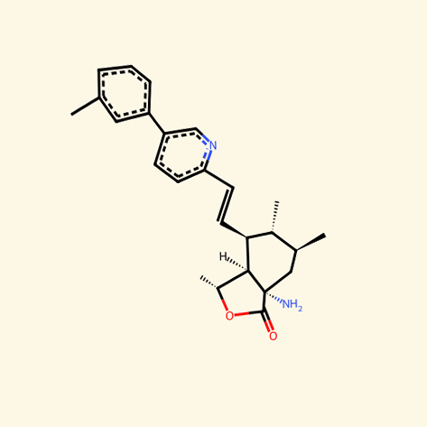 Cc1cccc(-c2ccc(/C=C/[C@H]3[C@H](C)[C@@H](C)C[C@@]4(N)C(=O)O[C@H](C)[C@@H]34)nc2)c1